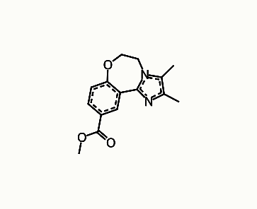 COC(=O)c1ccc2c(c1)-c1nc(C)c(C)n1CCO2